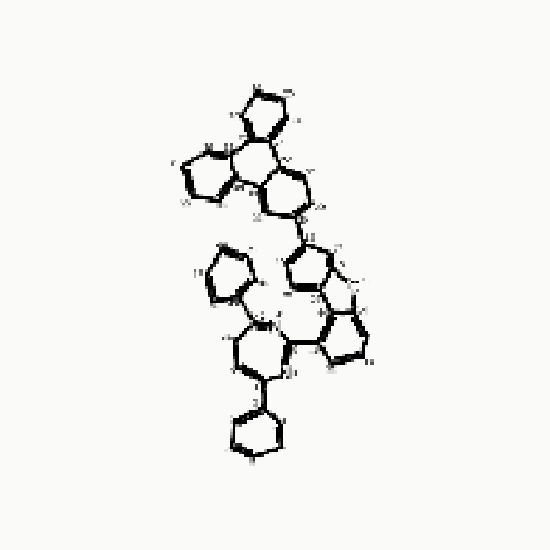 C1=C(c2ccccc2)N=C(c2cccc3oc4cc(-c5ccc6c7ccccc7c7ccccc7c6c5)ccc4c23)N=C(c2ccccc2)C1